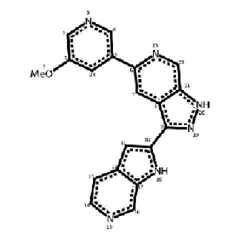 COc1cncc(-c2cc3c(-c4cc5ccncc5[nH]4)n[nH]c3cn2)c1